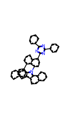 c1ccc(-c2nc(-c3ccccc3)nc(-c3ccc(-n4c5cc6ccccc6cc5c5ccc6ccccc6c54)c4c(-c5ccccc5)cccc34)n2)cc1